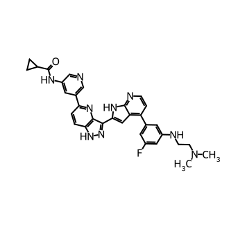 CN(C)CCNc1cc(F)cc(-c2ccnc3[nH]c(-c4n[nH]c5ccc(-c6cncc(NC(=O)C7CC7)c6)nc45)cc23)c1